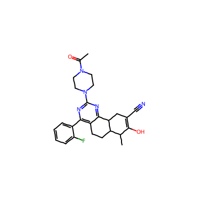 CC(=O)N1CCN(c2nc(-c3ccccc3F)c3c(n2)C2CC(C#N)=C(O)C(C)C2CC3)CC1